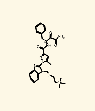 Cc1cc(C(=O)N[C@@H](Cc2ccccc2)C(=O)C(N)=O)nn1-c1nc2ccccc2n1COCC[Si](C)(C)C